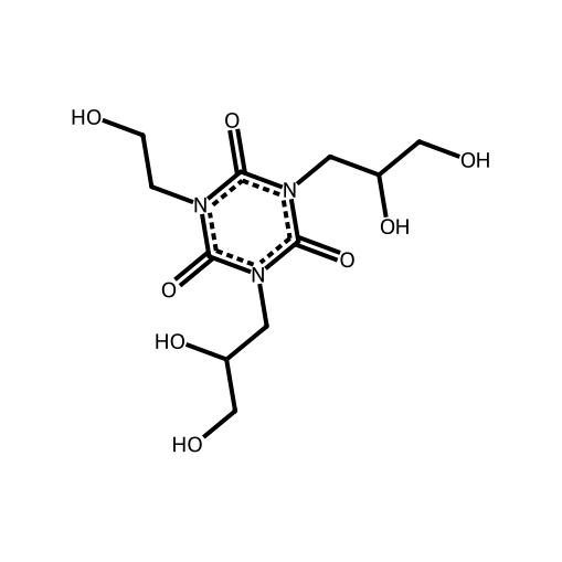 O=c1n(CCO)c(=O)n(CC(O)CO)c(=O)n1CC(O)CO